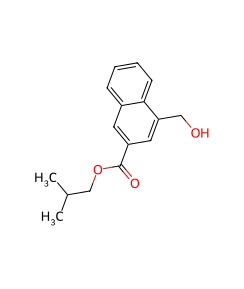 CC(C)COC(=O)c1cc(CO)c2ccccc2c1